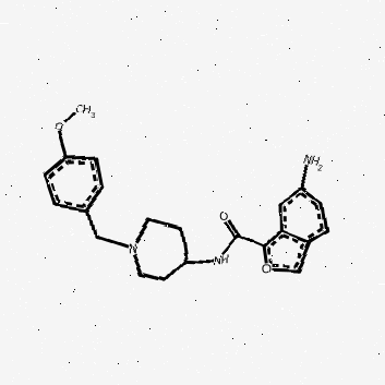 COc1ccc(CN2CCC(NC(=O)c3occ4ccc(N)cc34)CC2)cc1